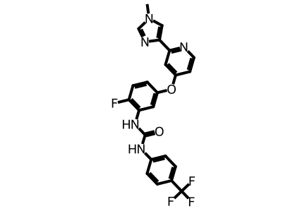 Cn1cnc(-c2cc(Oc3ccc(F)c(NC(=O)Nc4ccc(C(F)(F)F)cc4)c3)ccn2)c1